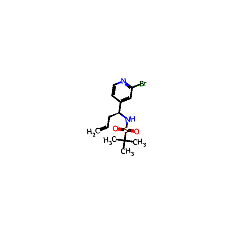 C=CC[C@H](NS(=O)(=O)C(C)(C)C)c1ccnc(Br)c1